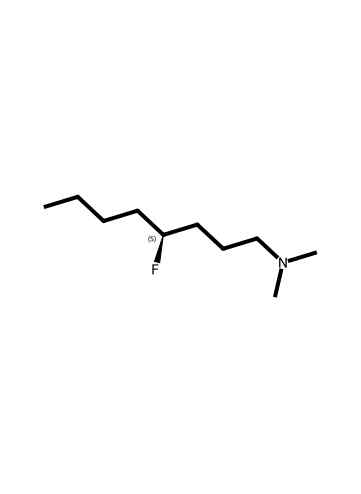 CCCC[C@H](F)CCCN(C)C